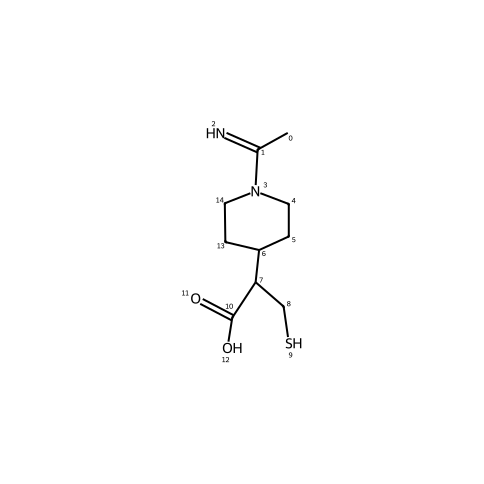 CC(=N)N1CCC(C(CS)C(=O)O)CC1